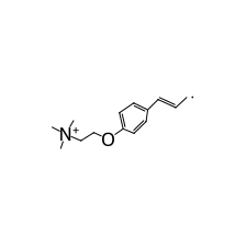 [CH2]C=Cc1ccc(OCC[N+](C)(C)C)cc1